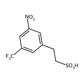 O=[N+]([O-])c1cc(CCS(=O)(=O)O)cc(C(F)(F)F)c1